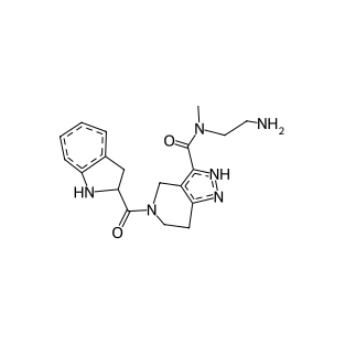 CN(CCN)C(=O)c1[nH]nc2c1CN(C(=O)C1Cc3ccccc3N1)CC2